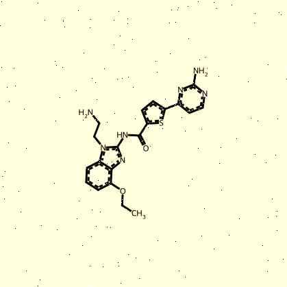 CCOc1cccc2c1nc(NC(=O)c1ccc(-c3ccnc(N)n3)s1)n2CCN